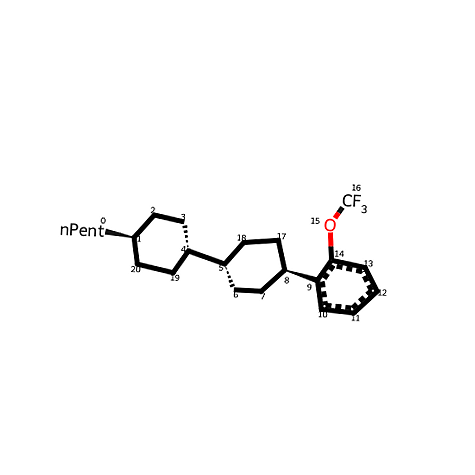 CCCCC[C@H]1CC[C@H]([C@H]2CC[C@H](c3ccccc3OC(F)(F)F)CC2)CC1